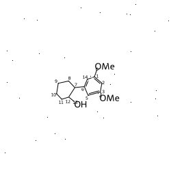 COc1cc(OC)cc(C2CCCCC2O)c1